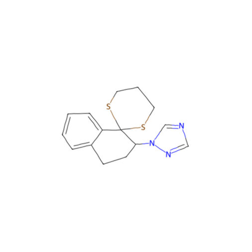 c1ccc2c(c1)CCC(n1cncn1)C21SCCCS1